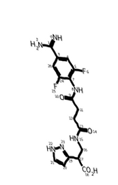 N=C(N)c1cc(F)c(NC(=O)CCC(=O)NCC(C(=O)O)c2cc[nH]n2)c(F)c1